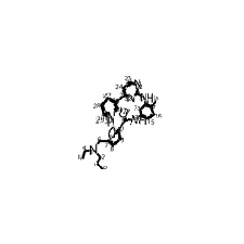 CCCN(CC)Cc1ccc(C(=O)Nc2ccc(C)c(Nc3nccc(-c4cccnc4)n3)c2)o1